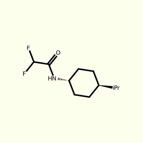 CC(C)[C@H]1CC[C@H](NC(=O)C(F)F)CC1